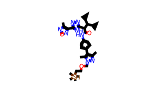 Cc1nonc1-c1nnc(C(C(=O)Nc2ccc(-c3c(C)nn(COCC[SH](C)(C)(C)C)c3C)cc2)C(C2CC2)C2CC2)[nH]1